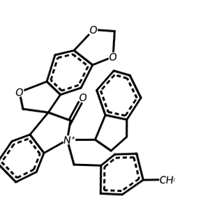 [CH]c1ccc(C[N+]2(C3CCc4ccccc43)C(=O)C3(COc4cc5c(cc43)OCO5)c3ccccc32)cc1